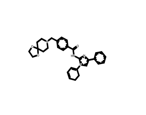 O=C(Nc1nc(-c2ccccc2)cn1C1=CC=CCC1)c1ccc(CN2CCC3(CC2)OCCO3)cc1